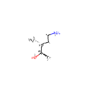 CC[C@@H](O)[C@H](C)CCN